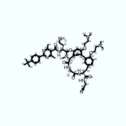 Cc1nc(-c2ccc(C(C)(C)C)cc2)nc(C)c1C(=O)N[C@@H](CCN)C(=O)N(C)[C@@H]1C(=O)N[C@@H](C)C(=O)N[C@H](C(=O)NCC#N)Cc2ccc(OCCN(C)C)c(c2)-c2cc1ccc2OCCN(C)C